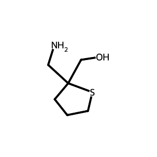 NCC1(CO)CCCS1